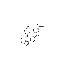 CC(C)n1ncc2ccc(Nc3cc(NC4CCC(N)CC4)c(-c4ccn(CC(F)F)n4)cn3)nc21